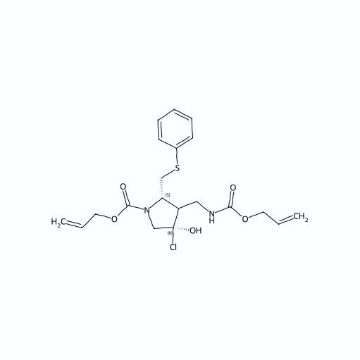 C=CCOC(=O)NCC1[C@@H](CSc2ccccc2)N(C(=O)OCC=C)C[C@]1(O)Cl